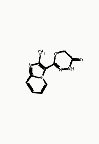 Cc1nc2ccccn2c1C1=NNC(=O)CO1